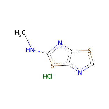 CNc1nc2scnc2s1.Cl